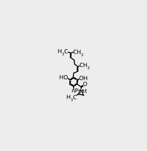 CCCCCc1cc(O)c(CC=C(C)CCC=C(C)C)c(O)c1C(=O)N1CC1C